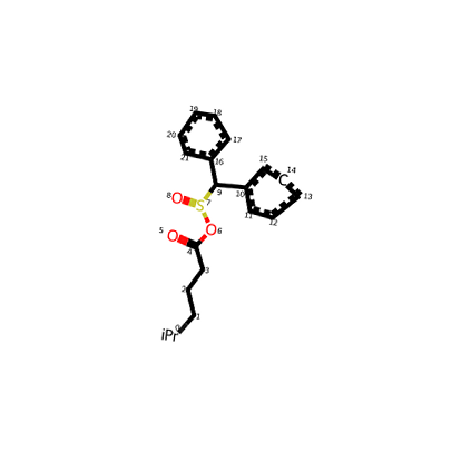 CC(C)CCCC(=O)OS(=O)C(c1ccccc1)c1ccccc1